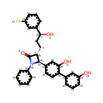 O=C1[C@H](CC[C@H](O)c2cccc(F)c2)[C@@H](c2ccc(-c3cccc(O)c3)c(O)c2)N1c1ccccc1